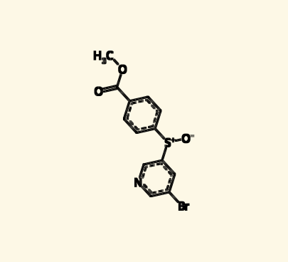 COC(=O)c1ccc([S+]([O-])c2cncc(Br)c2)cc1